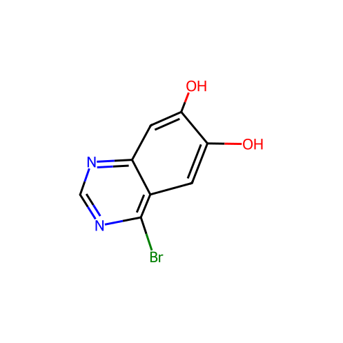 Oc1cc2ncnc(Br)c2cc1O